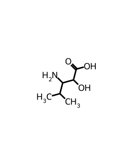 CC(C)C(N)C(O)C(=O)O